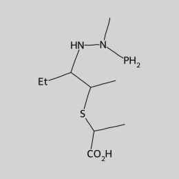 CCC(NN(C)P)C(C)SC(C)C(=O)O